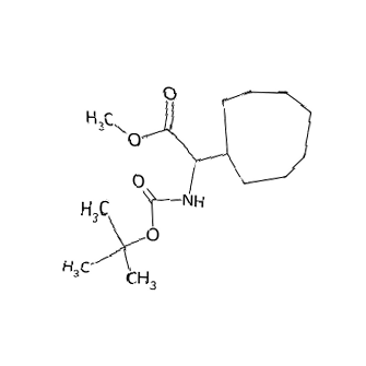 COC(=O)C(NC(=O)OC(C)(C)C)C1CCCCCCC1